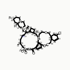 CO[C@@]1(CN2CCN3CC[C@@H](F)C[C@@H]3C2)/C=C/C[C@H](C)[C@@H](C)S(=O)(=O)NC(=O)c2ccc3c(c2)N(CCCCc2cc(Cl)ccc2CCO3)C[C@@H]2CC[C@H]21